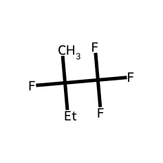 CCC(C)(F)C(F)(F)F